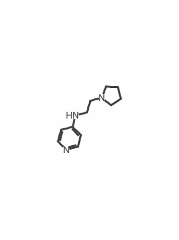 c1cc(NCCN2CCCC2)ccn1